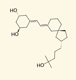 CC(C)(O)CCC[C@H]1CC[C@@]2(CCC/C(=C\C=C3C[C@@H](O)C[C@H](O)C3)C2)C1